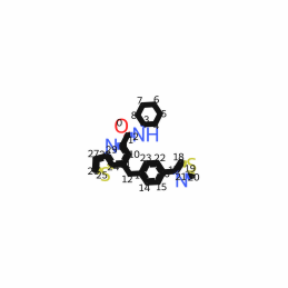 O=C(NC1CCCCC1)c1cc(Cc2ccc(-c3cscn3)cc2)c2sccc2n1